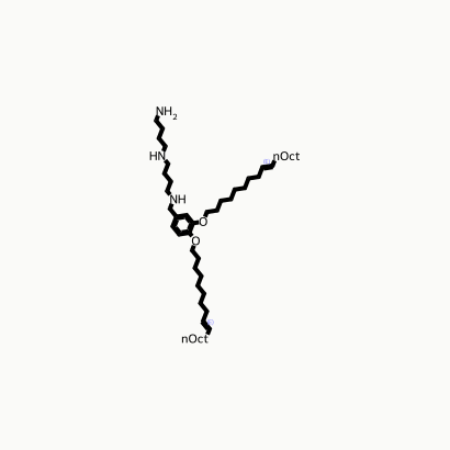 CCCCCCCC/C=C/CCCCCCCCOc1ccc(CNCCCCNCCCCN)cc1OCCCCCCCC/C=C/CCCCCCCC